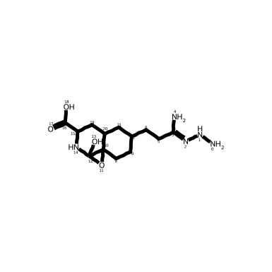 NN/N=C(\N)CCC1CCC23OC2(O)NC(C(=O)O)CC3C1